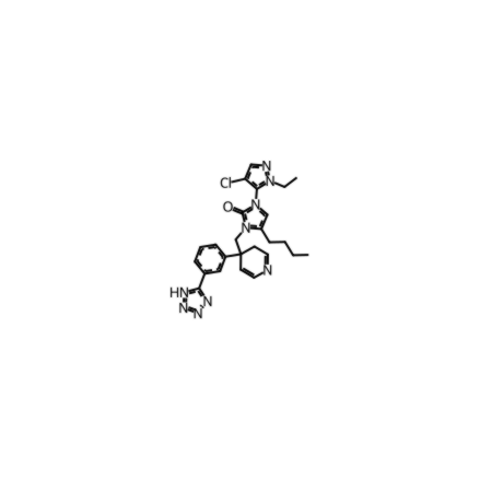 CCCCc1cn(-c2c(Cl)cnn2CC)c(=O)n1CC1(c2cccc(-c3nnn[nH]3)c2)C=CN=CC1